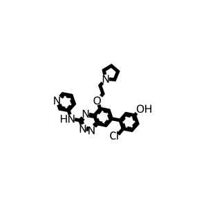 Oc1ccc(Cl)c(-c2cc(OCCN3CCCC3)c3nc(Nc4cccnc4)nnc3c2)c1